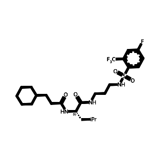 CC(C)C[C@H](NC(=O)CCC1CCCCC1)C(=O)NCCCNS(=O)(=O)c1ccc(F)cc1C(F)(F)F